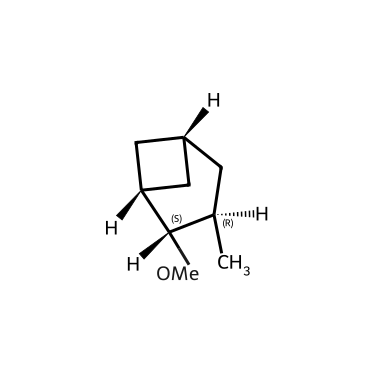 CO[C@@H]1[C@H]2C[C@@H](C[C@H]1C)C2